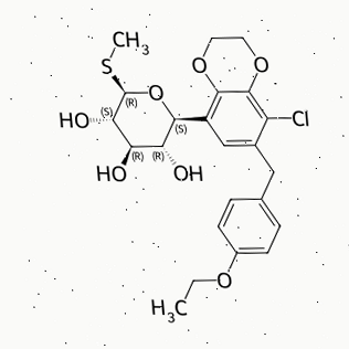 CCOc1ccc(Cc2cc([C@@H]3O[C@H](SC)[C@@H](O)[C@H](O)[C@H]3O)c3c(c2Cl)OCCO3)cc1